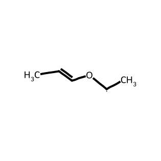 C[CH]OC=CC